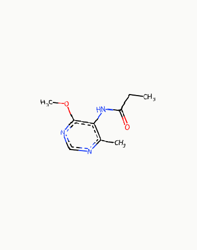 CCC(=O)Nc1c(C)ncnc1OC